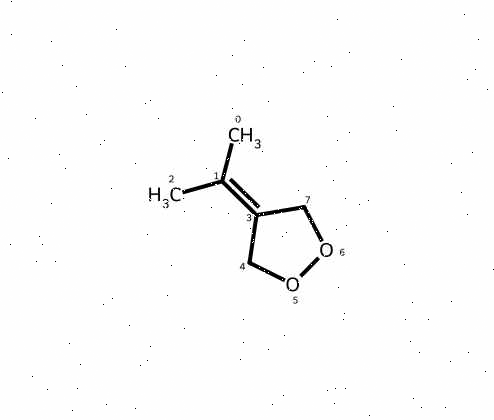 CC(C)=C1COOC1